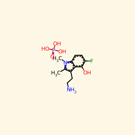 Cc1c(CCN)c2c(O)c(F)ccc2n1C.O=P(O)(O)O